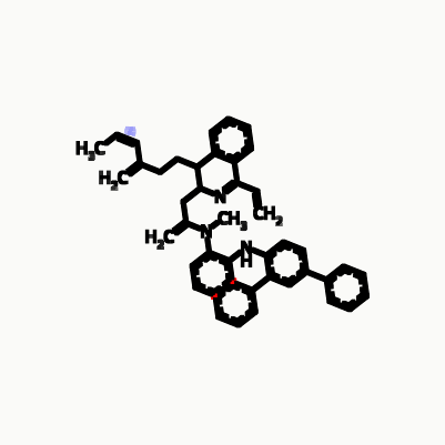 C=CC1=NC(CC(=C)N(C)c2ccccc2Nc2ccc(-c3ccccc3)cc2-c2ccccc2)C(CCC(=C)/C=C\C)c2ccccc21